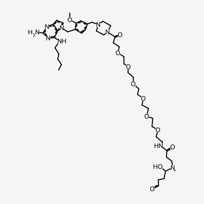 CCCCCNc1nc(N)nc2ccn(Cc3ccc(CN4CCN(C(=O)CCOCCOCCOCCOCCOCCOCCNC(=O)CCN(C)C(O)CCC=O)CC4)cc3OC)c12